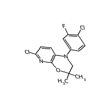 CC1(C)CN(c2ccc(Cl)c(F)c2)c2ccc(Cl)nc2O1